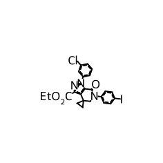 CCOC(=O)c1nn(-c2cccc(Cl)c2)c2c1C1(CC1)CN(c1ccc(I)cc1)C2=O